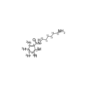 [2H]c1c([2H])c([2H])c(C(=O)NCCCCCCN)c([2H])c1[2H]